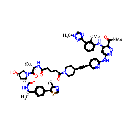 CNC(=O)c1nnc(Nc2ccc(C#CC3CCN(C(=O)CCCC(=O)N[C@H](C(=O)N4C[C@H](O)C[C@H]4C(=O)N[C@@H](C)c4ccc(-c5scnc5C)cc4)C(C)(C)C)CC3)cn2)cc1Nc1cccc(-c2ncn(C)n2)c1OC